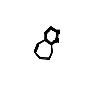 C1=CCc2nnccc2C=C1